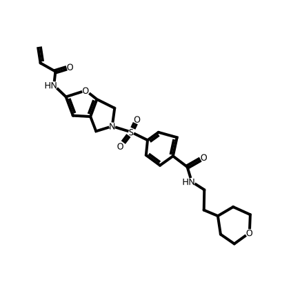 C=CC(=O)Nc1cc2c(o1)CN(S(=O)(=O)c1ccc(C(=O)NCCC3CCOCC3)cc1)C2